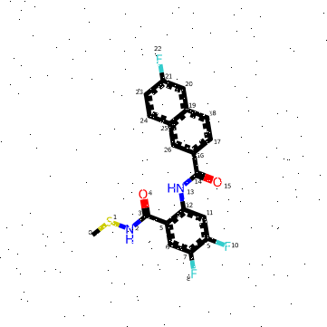 CSNC(=O)c1cc(F)c(F)cc1NC(=O)c1ccc2cc(F)ccc2c1